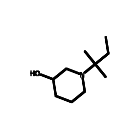 CCC(C)(C)N1CCCC(O)C1